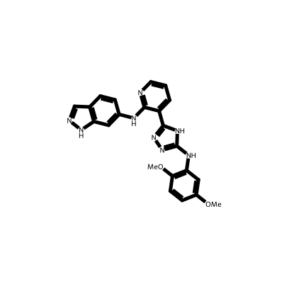 COc1ccc(OC)c(Nc2nnc(-c3cccnc3Nc3ccc4cn[nH]c4c3)[nH]2)c1